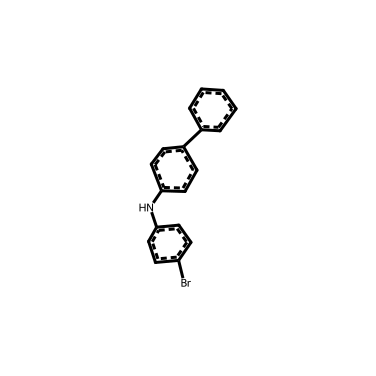 Brc1ccc(Nc2ccc(-c3ccccc3)cc2)cc1